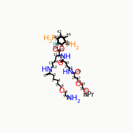 C=C(CCCCCOCCN)NCCCCC(NC(=O)CCCNC(=O)CCOCCOCCC)C(=O)Oc1c(F)c(P)c(C)c(C)c1P